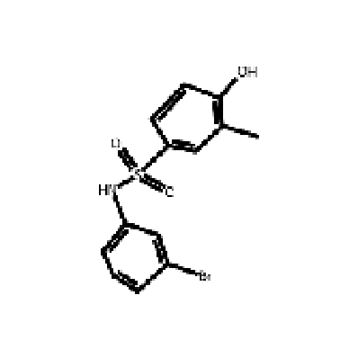 Cc1cc(S(=O)(=O)Nc2cccc(Br)c2)ccc1O